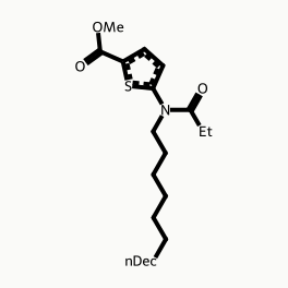 CCCCCCCCCCCCCCCCN(C(=O)CC)c1ccc(C(=O)OC)s1